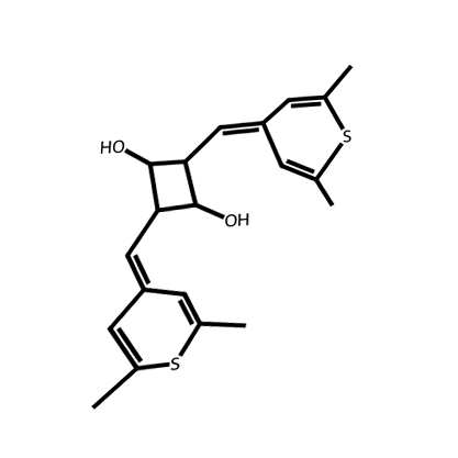 CC1=CC(=CC2C(O)C(C=C3C=C(C)SC(C)=C3)C2O)C=C(C)S1